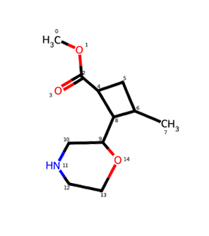 COC(=O)C1CC(C)C1C1CNCCO1